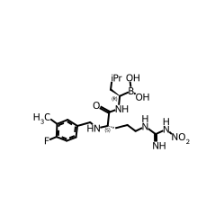 Cc1cc(CN[C@@H](CCCNC(=N)N[N+](=O)[O-])C(=O)N[C@@H](CC(C)C)B(O)O)ccc1F